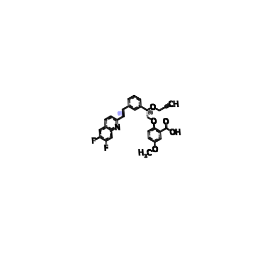 C#CCO[C@H](COc1ccc(OC)cc1C(=O)O)c1cccc(/C=C/c2ccc3cc(F)c(F)cc3n2)c1